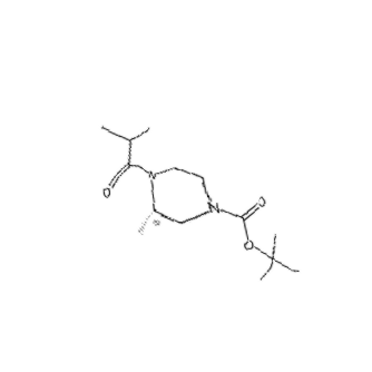 CC(C)C(=O)N1CCN(C(=O)OC(C)(C)C)C[C@@H]1C